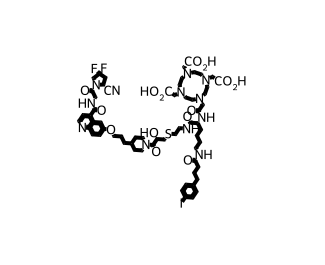 N#C[C@H]1CC(F)(F)CN1C(=O)CNC(=O)c1ccnc2ccc(OCCCC3CCN(C(=O)[C@H](O)CSCCNC(=O)C(CCCCNC(=O)CCCc4ccc(I)cc4)NC(=O)CN4CCN(CC(=O)O)CCN(CC(=O)O)CCN(CC(=O)O)CC4)CC3)cc12